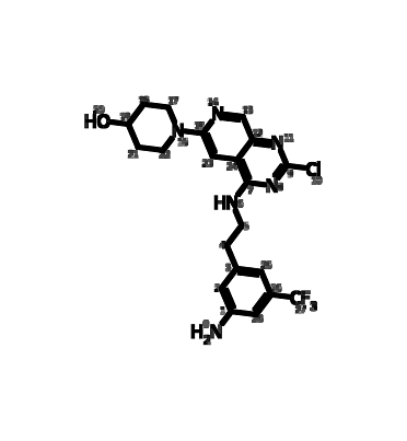 Nc1cc(CCNc2nc(Cl)nc3cnc(N4CCC(O)CC4)cc23)cc(C(F)(F)F)c1